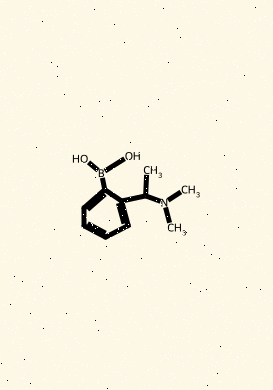 CC(c1ccccc1B(O)O)N(C)C